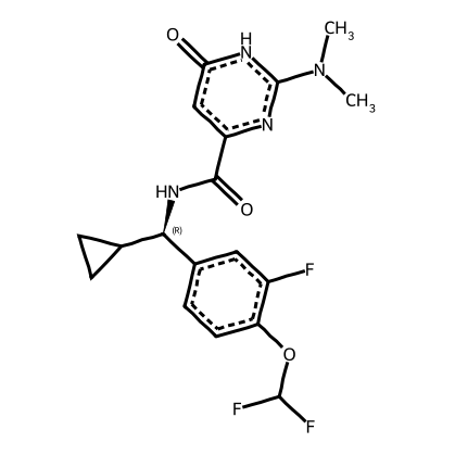 CN(C)c1nc(C(=O)N[C@@H](c2ccc(OC(F)F)c(F)c2)C2CC2)cc(=O)[nH]1